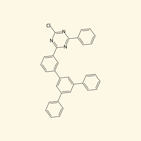 Clc1nc(-c2ccccc2)nc(-c2cccc(-c3cc(-c4ccccc4)cc(-c4ccccc4)c3)c2)n1